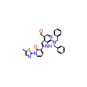 Cc1cnc(-n2cccc(-c3cc4c(C=O)cnc(N(Cc5ccccc5)Cc5ccccc5)c4[nH]3)c2=O)s1